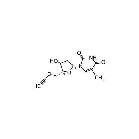 C#COC[C@H]1O[C@@H](n2cc(C)c(=O)[nH]c2=O)CC1O